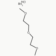 B.COCCOCCOC.Cl